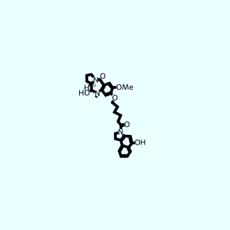 COc1cc2c(cc1OCCCCCC(=O)N1CCc3c1cc(O)c1ccccc31)N(C)C(O)[C@@H]1CCCN1C2=O